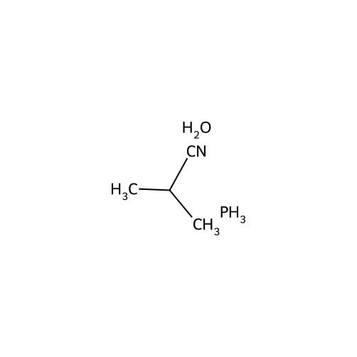 CC(C)C#N.O.P